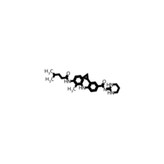 Cc1c(NC(=O)CCC(C)C)cccc1Nc1ccc(C(=O)N=C2NCCCN2)cc1C1CC1